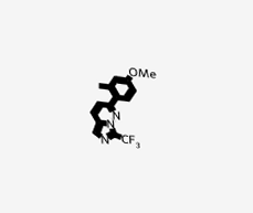 COc1ccc(-c2ccc3cnc(C(F)(F)F)n3n2)c(C)c1